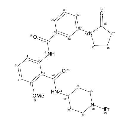 COc1cccc(NC(=O)c2cccc(N3CCCC3=O)c2)c1C(=O)NC1CCN(C(C)C)CC1